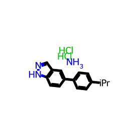 CC(C)c1ccc(-c2ccc3[nH]ncc3c2)cc1.Cl.Cl.N